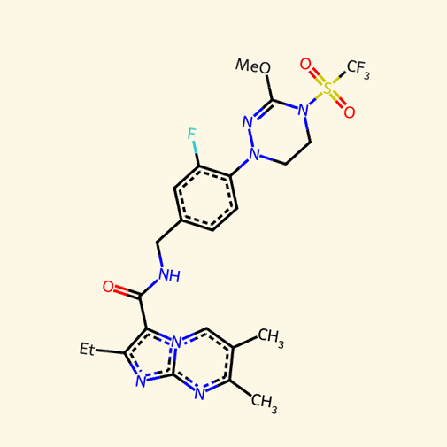 CCc1nc2nc(C)c(C)cn2c1C(=O)NCc1ccc(N2CCN(S(=O)(=O)C(F)(F)F)C(OC)=N2)c(F)c1